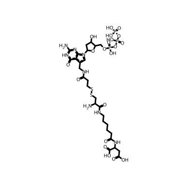 Nc1nc2c(c(CNC(=O)CCSSCC(N)C(=O)NCCCCCC(=O)NC(CC(=O)O)C(=O)O)cn2C2CC(O)C(COP(=O)(O)OP(=O)(O)OP(=O)(O)O)O2)c(=O)[nH]1